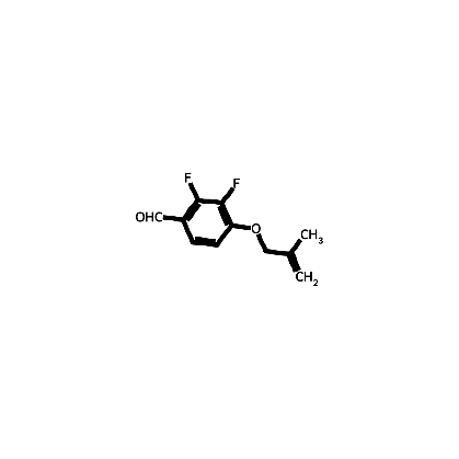 C=C(C)COc1ccc(C=O)c(F)c1F